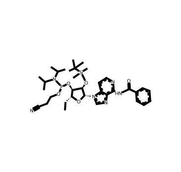 CC[C@H]1O[C@@H](n2cnc3c(NC(=O)c4ccccc4)nccc32)[C@H](O[Si](C)(C)C(C)(C)C)[C@@H]1OP(OCCC#N)N(C(C)C)C(C)C